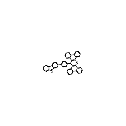 c1ccc2c(c1)sc1cc(-c3ccc(C4c5c(c6ccccc6c6ccccc56)Sc5c4c4ccccc4c4ccccc54)cc3)ccc12